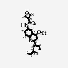 C/C=C(/C)S/C(=C\C)c1cc(OCC)c2cc(NC(=O)C3COC3)ccc2n1